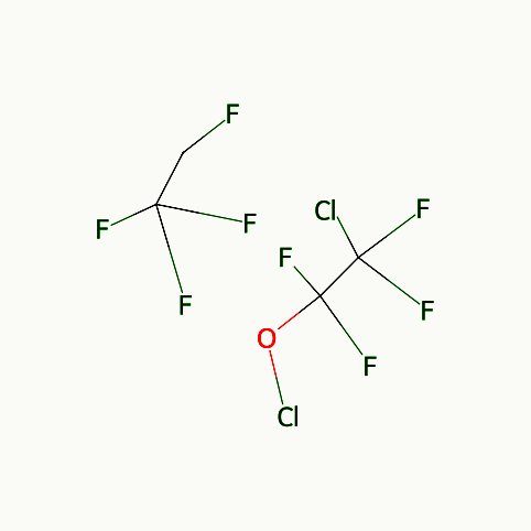 FC(F)(Cl)C(F)(F)OCl.FCC(F)(F)F